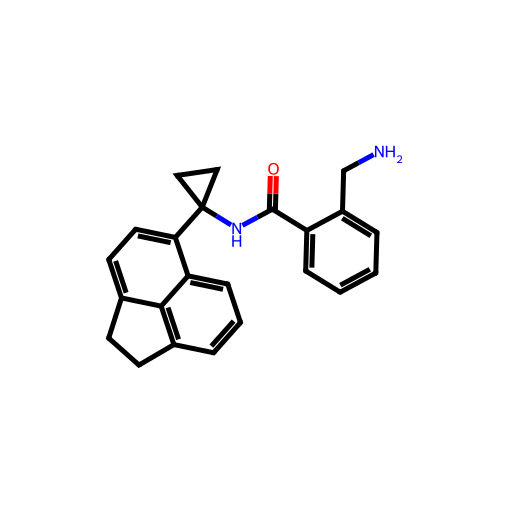 NCc1ccccc1C(=O)NC1(c2ccc3c4c(cccc24)CC3)CC1